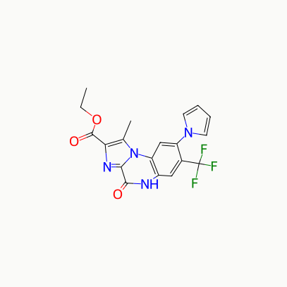 CCOC(=O)c1nc2c(=O)[nH]c3cc(C(F)(F)F)c(-n4cccc4)cc3n2c1C